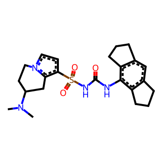 CN(C)C1CCn2ccc(S(=O)(=O)NC(=O)Nc3c4c(cc5c3CCC5)CCC4)c2C1